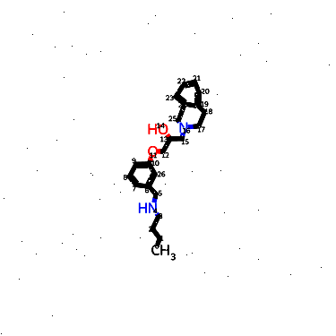 CCCCNCc1cccc(OCC(O)CN2CCc3ccccc3C2)c1